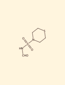 O=CNS(=O)(=O)N1CCSCC1